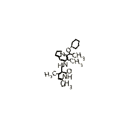 Cc1cc(C)c(CNc2cc3cccn3c(C(C)OC3CCCCC3)c2C)c(=O)[nH]1